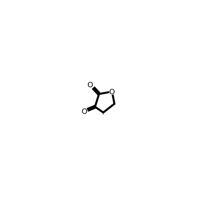 O=C1[CH]COC1=O